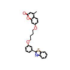 Cc1cc(=O)oc2cc(OCCCCOc3cccc(-c4nc5ccccc5s4)c3)ccc12